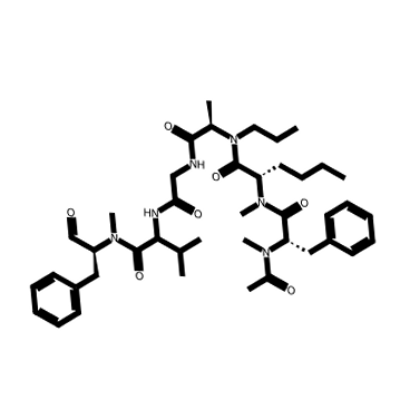 CCCC[C@@H](C(=O)N(CCC)[C@H](C)C(=O)NCC(=O)NC(C(=O)N(C)[C@H](C=O)Cc1ccccc1)C(C)C)N(C)C(=O)[C@H](Cc1ccccc1)N(C)C(C)=O